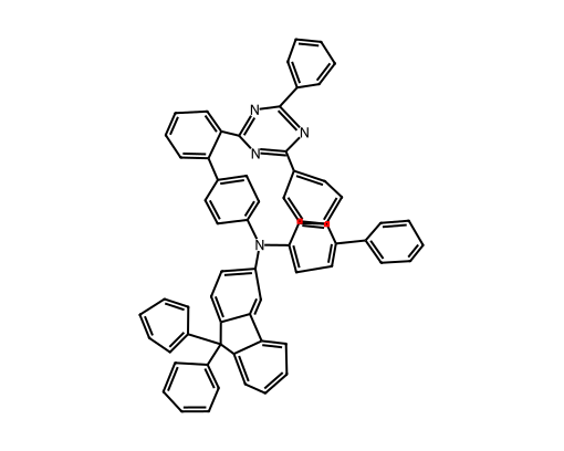 c1ccc(-c2ccc(N(c3ccc(-c4ccccc4-c4nc(-c5ccccc5)nc(-c5ccccc5)n4)cc3)c3ccc4c(c3)-c3ccccc3C4(c3ccccc3)c3ccccc3)cc2)cc1